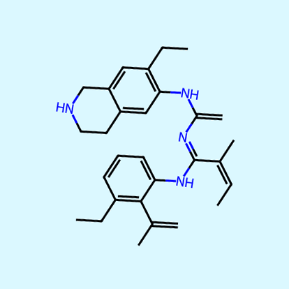 C=C(/N=C(Nc1cccc(CC)c1C(=C)C)\C(C)=C/C)Nc1cc2c(cc1CC)CNCC2